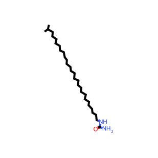 CC(C)CCCCCCCCCCCCCCCCCCCCCCCCCCNC(N)=O